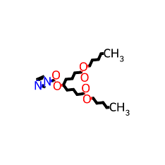 CCCCCOC(=O)CCCC(CCCC(=O)OCCCCC)OC(=O)n1ccnc1